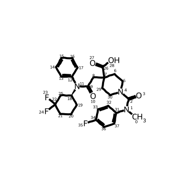 CN(C(=O)N1CCC(CC(=O)N(c2ccccc2)[C@H]2CCCC(F)(F)C2)(C(=O)O)CC1)c1ccc(F)cc1